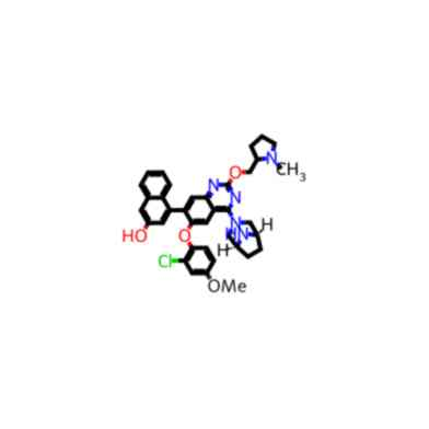 COc1ccc(Oc2cc3c(N4C[C@H]5CC[C@@H](C4)N5)nc(OCC4CCCN4C)nc3cc2-c2cc(O)cc3ccccc23)c(Cl)c1